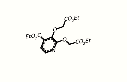 CCOC(=O)COc1nccc(C(=O)OCC)c1OCC(=O)OCC